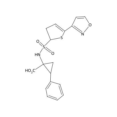 O=C(O)C1(NS(=O)(=O)C2CC=C(c3ccon3)S2)CC1c1ccccc1